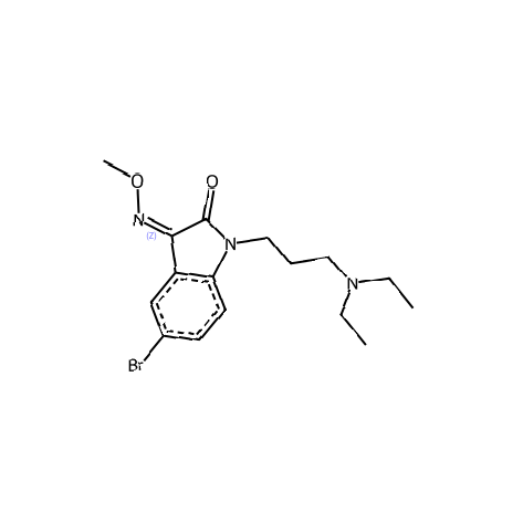 CCN(CC)CCCN1C(=O)/C(=N\OC)c2cc(Br)ccc21